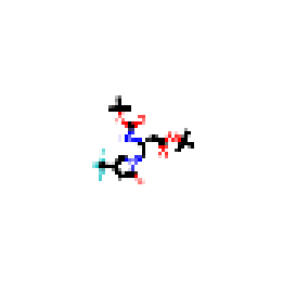 CC(C)(C)OC(=O)C[C@@H](CN1CC(C(F)(F)F)CC1=O)NC(=O)OC(C)(C)C